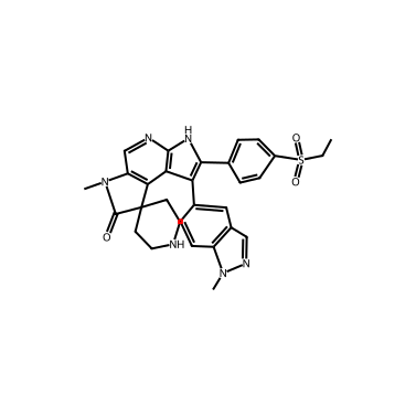 CCS(=O)(=O)c1ccc(-c2[nH]c3ncc4c(c3c2-c2ccc3c(cnn3C)c2)C2(CCNCC2)C(=O)N4C)cc1